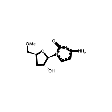 COC[C@@H]1C[C@@H](O)[C@H](n2ccc(N)nc2=O)O1